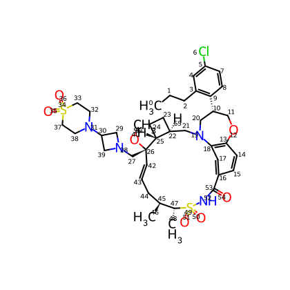 CCCc1cc(Cl)ccc1[C@@H]1COc2ccc3cc2N(C1)C[C@@H]1CC[C@H]1[C@@](CN1CC(N2CCS(=O)(=O)CC2)C1)(OC)/C=C/C[C@H](C)[C@@H](C)S(=O)(=O)NC3=O